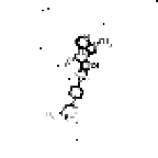 CC(C)c1c(-c2cn(C)c3ncccc23)[nH]c2sc(C3CCN(C(=O)CN(C)C)CC3)nc12